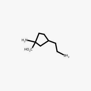 BCCC1CCC(N)(C(=O)O)C1